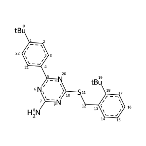 CC(C)(C)c1ccc(-c2nc(N)nc(SCc3ccccc3C(C)(C)C)n2)cc1